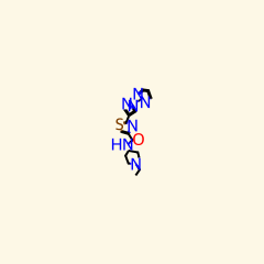 CCN1CCC(NC(=O)c2csc(-c3cnn(-c4ncccn4)c3)n2)CC1